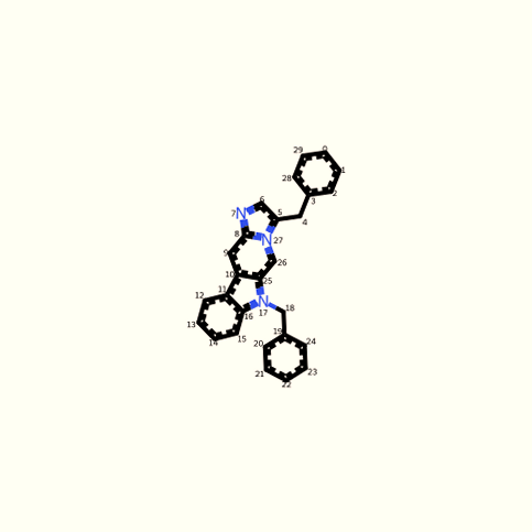 c1ccc(Cc2cnc3cc4c5ccccc5n(Cc5ccccc5)c4cn23)cc1